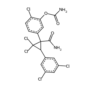 NC(=O)Oc1cc(C2(C(N)=O)C(c3cc(Cl)cc(Cl)c3)C2(Cl)Cl)ccc1Cl